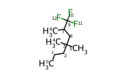 CCCC(C)(C)CC(C)C(F)(F)F